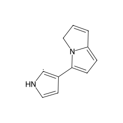 [c]1[nH]ccc1-c1ccc2n1CC=C2